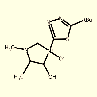 CC1C(O)[N+]([O-])(c2nnc(C(C)(C)C)s2)CN1C